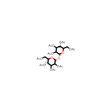 CC(=O)OCC1O[C@H](O[C@H]2OC(COC(C)=O)[C@@H](OC(C)=O)C(OC(C)=O)C2OC(C)=O)C(OC(C)=O)C(OC(C)=O)[C@@H]1OC(C)=O